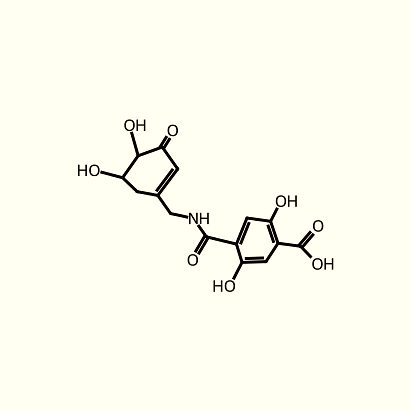 O=C(O)c1cc(O)c(C(=O)NCC2=CC(=O)C(O)C(O)C2)cc1O